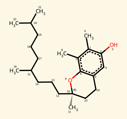 Cc1c(O)cc2c(c1C)O[C@](C)(CCCC(C)CCCC(C)C)CC2